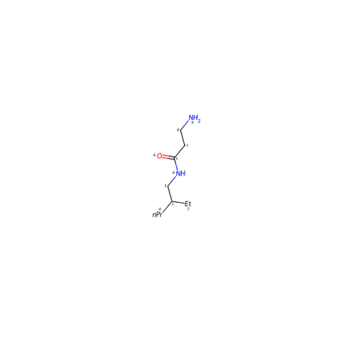 CCCC(CC)CNC(=O)CCN